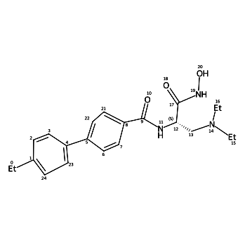 CCc1ccc(-c2ccc(C(=O)N[C@@H](CN(CC)CC)C(=O)NO)cc2)cc1